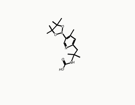 Cc1cc(CC(C)(C)NC(=O)O)ncc1B1OC(C)(C)C(C)(C)O1